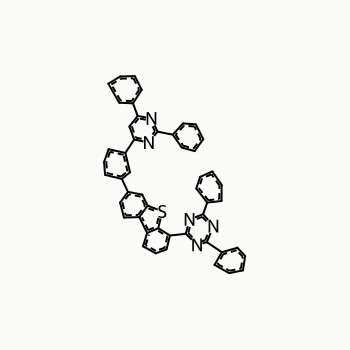 c1ccc(-c2cc(-c3cccc(-c4ccc5c(c4)sc4c(-c6nc(-c7ccccc7)nc(-c7ccccc7)n6)cccc45)c3)nc(-c3ccccc3)n2)cc1